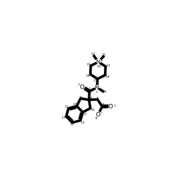 CN(C(=O)C1(CC(=O)[O-])Cc2ccccc2C1)C1CC[N+](C)(C)CC1